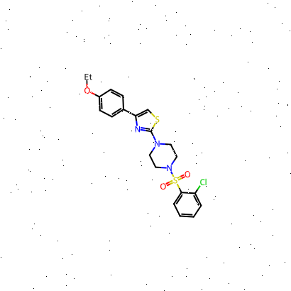 CCOc1ccc(-c2csc(N3CCN(S(=O)(=O)c4ccccc4Cl)CC3)n2)cc1